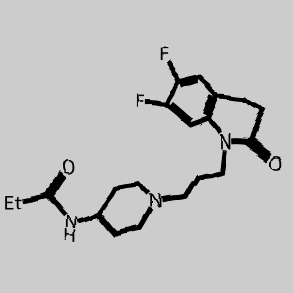 CCC(=O)NC1CCN(CCCN2C(=O)CCc3cc(F)c(F)cc32)CC1